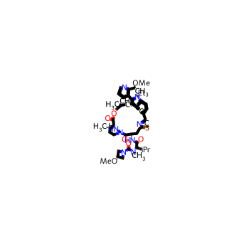 CCn1c(-c2cccnc2[C@H](C)OC)c2c3cc(ccc31)-c1csc(n1)C[C@H](NC(=O)C(C(C)C)N(C)C(=O)N1CC(OC)C1)C(=O)N1CC[C@H](C)[C@H](N1)C(=O)OCC(C)(C)C2